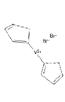 C1=CC[C]([V+2][C]2=CC=CC2)=C1.[Br-].[Br-]